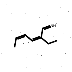 C/C=C\C=C(/C=N)CC